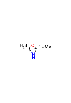 B[C@@H]1O[C@@]2(COC)CNC1C2